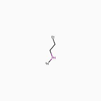 [2H]PCCCC